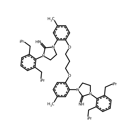 Cc1ccc(OCCCOc2ccc(C)cc2N2CCN(c3c(CC(C)C)cccc3CC(C)C)C2=N)c(N2CCN(c3c(CC(C)C)cccc3CC(C)C)C2=N)c1